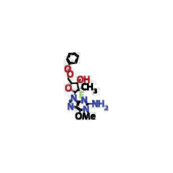 COc1nc(N)nc2c1ncn2C1OC(COOc2ccccc2)[C@@H](O)[C@@]1(C)F